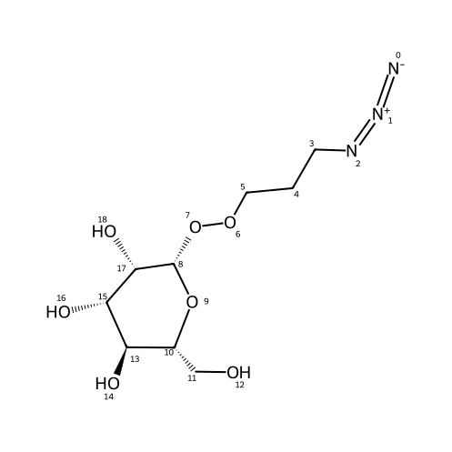 [N-]=[N+]=NCCCOO[C@@H]1O[C@H](CO)[C@@H](O)[C@H](O)[C@@H]1O